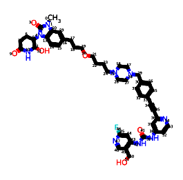 Cn1c(=O)n(C2CCC(=O)NC2O)c2ccc(CCCOCCCCN3CCN(Cc4ccc(C#Cc5cc(NC(=O)Nc6cc(F)ncc6CO)ccn5)cc4)CC3)cc21